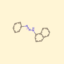 c1ccc(/N=N/Nc2cccc3ccccc23)cc1